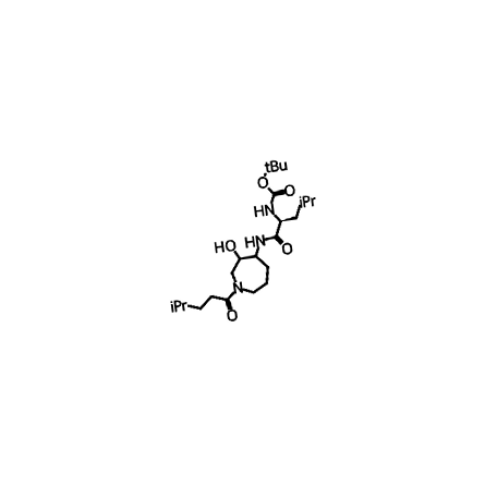 CC(C)CCC(=O)N1CCCC(NC(=O)[C@H](CC(C)C)NC(=O)OC(C)(C)C)C(O)C1